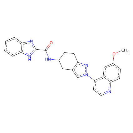 COc1ccc2nccc(-n3cc4c(n3)CCC(NC(=O)c3nc5ccccc5[nH]3)C4)c2c1